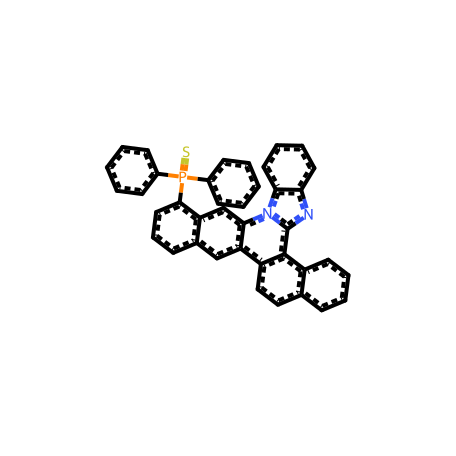 S=P(c1ccccc1)(c1ccccc1)c1cccc2cc3c4ccc5ccccc5c4c4nc5ccccc5n4c3cc12